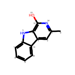 Cc1cc2c([nH]c3ccccc32)c(O)n1